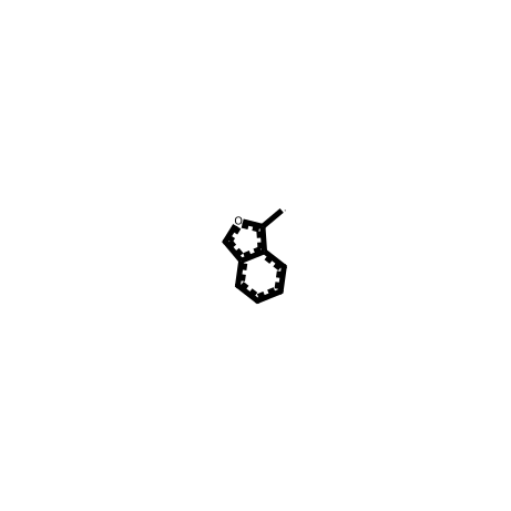 [CH2]c1occ2ccccc12